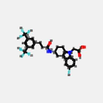 O=C(O)Cn1c2c(c3cc(F)ccc31)CC(NC(=O)CCc1cc(C(F)(F)F)cc(C(F)(F)F)c1)CC2